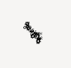 O=C1C(=Cc2nc3sc4c(c3s2)OC2(CCCCC2)c2c-4sc3c2SC(C=C2C(=O)C4=CCCC=C4C2=O)N3)C(=O)C2=CCCC=C12